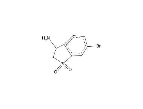 NC1CS(=O)(=O)c2cc(Br)ccc21